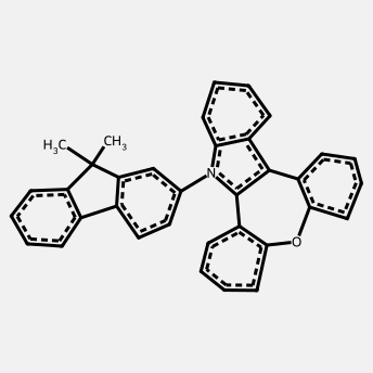 CC1(C)c2ccccc2-c2ccc(-n3c4c(c5ccccc53)-c3ccccc3Oc3ccccc3-4)cc21